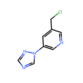 ClCc1cncc(-n2cncn2)c1